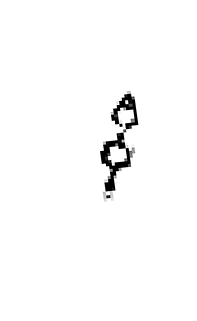 N#Cc1ccc(N2CC3CC3C2)nc1